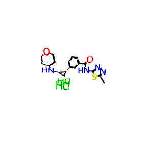 Cc1nnc(NC(=O)c2cccc([C@@H]3C[C@H]3NC3CCOCC3)c2)s1.Cl.Cl